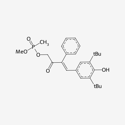 COP(C)(=O)OCC(=O)C(=Cc1cc(C(C)(C)C)c(O)c(C(C)(C)C)c1)c1ccccc1